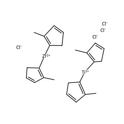 CC1=[C]([Ti+2][C]2=C(C)C=CC2)CC=C1.CC1=[C]([Zr+2][C]2=C(C)C=CC2)CC=C1.[Cl-].[Cl-].[Cl-].[Cl-]